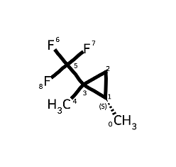 C[C@H]1CC1(C)C(F)(F)F